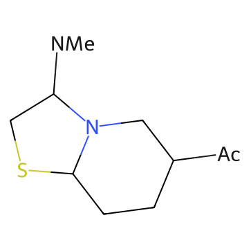 CNC1CSC2CCC(C(C)=O)CN12